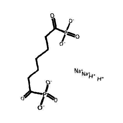 O=C(CCCCCC(=O)P(=O)([O-])[O-])P(=O)([O-])[O-].[H+].[H+].[Na+].[Na+]